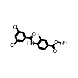 CCCOC(=O)c1ccc(NC(=O)c2cc(Cl)cc(Cl)c2)c(I)c1